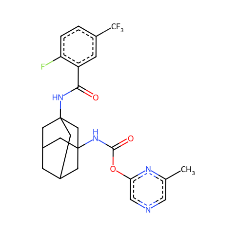 Cc1cncc(OC(=O)NC23CC4CC(C2)CC(NC(=O)c2cc(C(F)(F)F)ccc2F)(C4)C3)n1